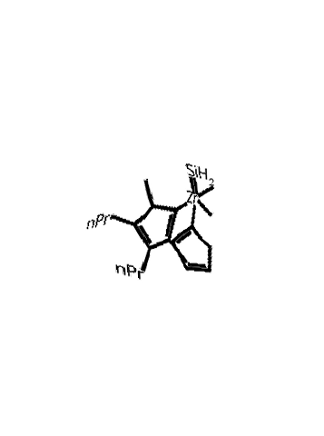 CCCC1=C(CCC)C(C)[C]([Zr]([CH3])([CH3])(=[SiH2])[C]2=CC=CC2)=C1C